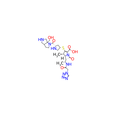 C[C@@H](NC(=O)Cn1cnnn1)[C@H]1C(=O)N2C(C(=O)O)=C(S[C@@H]3CN[C@H](C(=O)N4CCC5CNCC54CO)C3)[C@H](C)[C@H]12